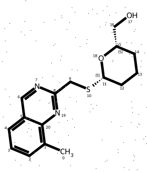 Cc1cccc2cnc(CS[C@H]3CCC[C@@H](CO)O3)nc12